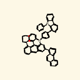 c1ccc(-n2c3ccccc3c3cccc(-c4ccc(N(c5cccc(-c6cccc7c6ccc6ccccc67)c5)c5ccccc5-c5cccc6cccc(C7CCCCC7)c56)cc4)c32)cc1